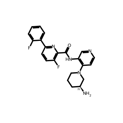 N[C@H]1CCCN(c2ccncc2NC(=O)c2nc(-c3ccccc3F)ccc2F)C1